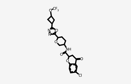 O=C1CC(C(=O)NC2CCC(c3nnc(C4CC(OC(F)(F)F)C4)o3)OC2)Oc2ccc(Cl)cc21